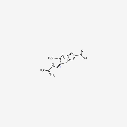 C=C(C)N/C=C(/Cn1cc(C(=O)O)cn1)N(C)C